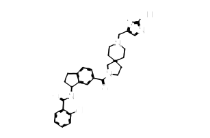 Cc1nc(CN2CCC3(CC2)CCN(C(=O)c2ccc4c(c2)C(NC(=O)c2ccccc2Cl)CC4)C3)c[nH]1